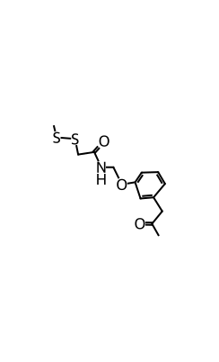 CSSCC(=O)NCOc1cccc(CC(C)=O)c1